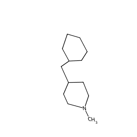 CN1CCC(CC2CCCCC2)CC1